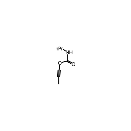 CC#COC(=O)NCCC